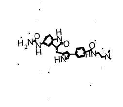 CN(C)CCNC(=O)c1ccc(-c2c[nH]c(C=C3C(=O)Nc4ccc(NC(N)=O)cc43)c2)cc1